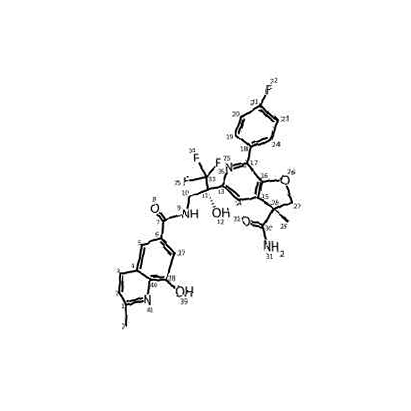 Cc1ccc2cc(C(=O)NC[C@](O)(c3cc4c(c(-c5ccc(F)cc5)n3)OC[C@]4(C)C(N)=O)C(F)(F)F)cc(O)c2n1